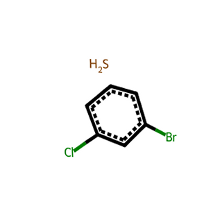 Clc1cccc(Br)c1.S